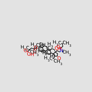 CC(C)CC(=O)N(C)C[C@H](O)[C@@]12CC[C@]3(C)[C@H](CC[C@@H]4[C@@]5(C)CC[C@H](OC(=O)CC(C)(C)C(=O)O)C(C)(C)[C@@H]5CC[C@]43C)C1=C(C(C)C)C(=O)C2